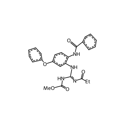 CCC(=O)/N=C(/NC(=O)OC)Nc1cc(Oc2ccccc2)ccc1NC(=O)c1ccccc1